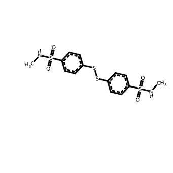 CNS(=O)(=O)c1ccc(SSc2ccc(S(=O)(=O)NC)cc2)cc1